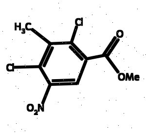 COC(=O)c1cc([N+](=O)[O-])c(Cl)c(C)c1Cl